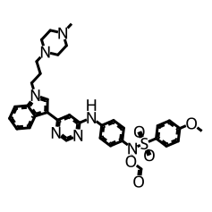 COc1ccc(S(=O)(=O)N(OC=O)c2ccc(Nc3cc(-c4cn(CCCN5CCN(C)CC5)c5ccccc45)ncn3)cc2)cc1